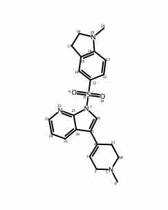 CN1CC=C(c2cn(S(=O)(=O)c3ccc4c(c3)CCN4C)c3ncccc23)CC1